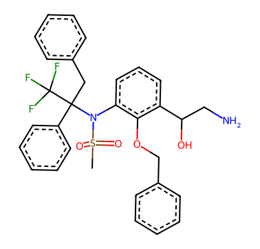 CS(=O)(=O)N(c1cccc(C(O)CN)c1OCc1ccccc1)C(Cc1ccccc1)(c1ccccc1)C(F)(F)F